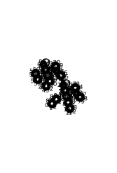 c1ccc2cc(N3c4cc5ccccc5cc4B4c5c3cc3cc(-c6ccc7c8cccc9c8n(c7c6)B6c7ccc8ccccc8c7N(c7cccc8ccccc78)c7cc8ccoc8c-9c76)oc3c5-c3cccc5c6ccccc6n4c35)ccc2c1